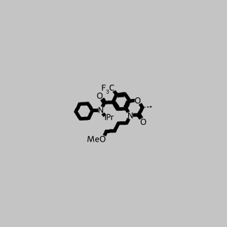 COCCCCN1C(=O)[C@@H](C)Oc2cc(C(F)(F)F)c(C(=O)N(C(C)C)C3CCCCC3)cc21